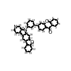 O=c1c2ccccc2oc2cc(-c3cccc(-n4c5cnccc5c5cc6c(cc54)oc4ccccc46)c3)ccc12